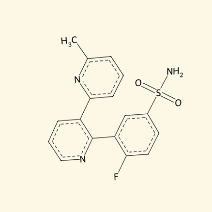 Cc1cccc(-c2cccnc2-c2cc(S(N)(=O)=O)ccc2F)n1